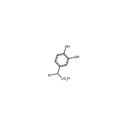 CCC(C(=O)O)c1ccc(O)c(O)c1